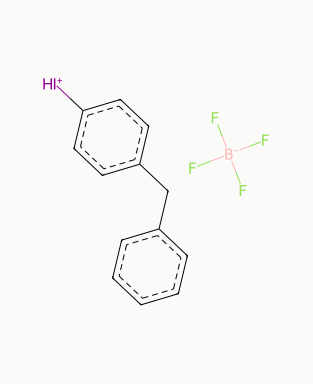 F[B-](F)(F)F.[IH+]c1ccc(Cc2ccccc2)cc1